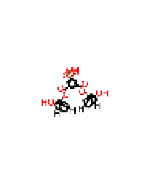 O=C(OC[C@]12C[C@@H]3C[C@@H](C[C@@](O)(C3)C1)C2)c1cc(C(=O)OC[C@]23C[C@@H]4C[C@@H](C[C@@](O)(C4)C2)C3)cc(S(=O)(=O)O)c1